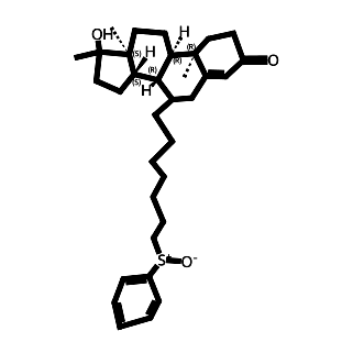 CC1(O)CC[C@H]2[C@@H]3C(CCCCCCC[S+]([O-])c4ccccc4)CC4=CC(=O)CC[C@]4(C)[C@@H]3CC[C@@]21C